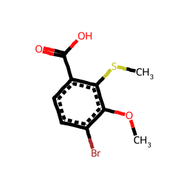 COc1c(Br)ccc(C(=O)O)c1SC